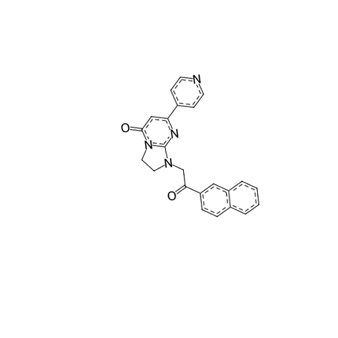 O=C(CN1CCn2c1nc(-c1ccncc1)cc2=O)c1ccc2ccccc2c1